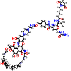 C/C1=C/C=C/[C@H](C)C[C@@H](C)C[C@@H](C)[C@H](O)[C@H](C)C/C=C/O[C@@]2(C)Oc3c(C)c(O)c4c(=O)c(c5oc6cc(N7CCN(CCNOCc8ccc(NC(=O)[C@H](CCCNC(N)=O)NC(=O)[C@@H](NC(=O)CCCCCN9C(=O)C=CC9=O)C(C)C)cc8)CC7)cc(O)c6nc-5c4c3C2=O)NC1=O